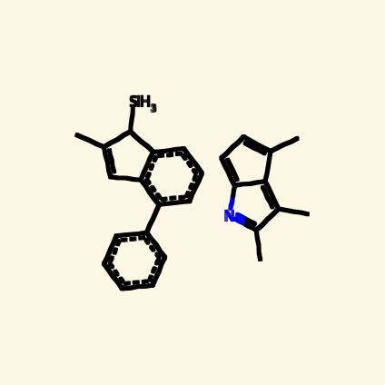 CC1=CC=C2N=C(C)C(C)=C12.CC1=Cc2c(-c3ccccc3)cccc2C1[SiH3]